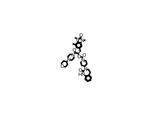 Cc1cc(C[C@@H](OC(=O)N2CCC(N3CCc4ccccc4NC3=O)CC2)C(=O)N2CCN(C3CCOCC3)CC2)cc2c1n(C)c(=O)n2C